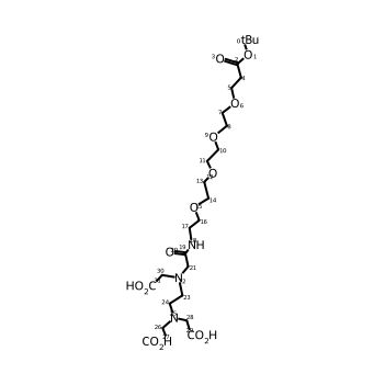 CC(C)(C)OC(=O)CCOCCOCCOCCOCCNC(=O)CN(CCN(CC(=O)O)CC(=O)O)CC(=O)O